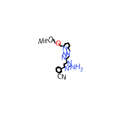 COCCOCc1cccc(Cn2cc(-c3cc(-c4cccc(C#N)c4)nc(N)n3)nn2)n1